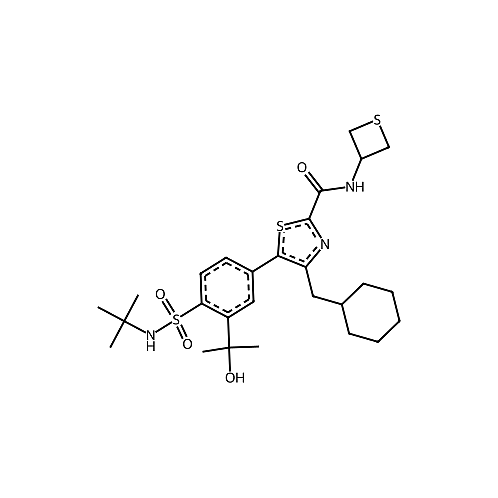 CC(C)(C)NS(=O)(=O)c1ccc(-c2sc(C(=O)NC3CSC3)nc2CC2CCCCC2)cc1C(C)(C)O